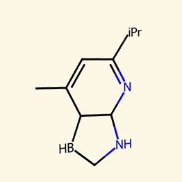 CC1=CC(C(C)C)=NC2NCBC12